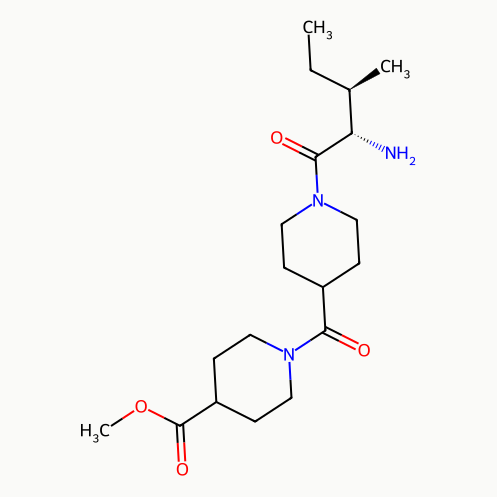 CC[C@@H](C)[C@H](N)C(=O)N1CCC(C(=O)N2CCC(C(=O)OC)CC2)CC1